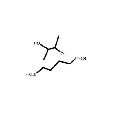 CC(O)C(C)O.CCCCCCCCCCCC(=O)O